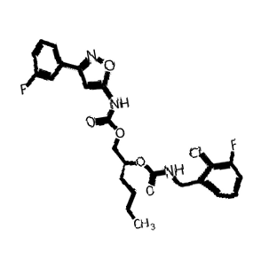 CCCC[C@@H](COC(=O)Nc1cc(-c2cccc(F)c2)no1)OC(=O)NCc1cccc(F)c1Cl